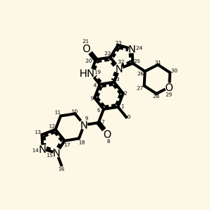 Cc1cc2c(cc1C(=O)N1CCc3cnn(C)c3C1)[nH]c(=O)c1cnc(C3CCOCC3)n12